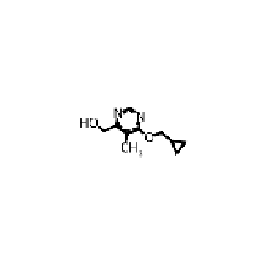 Cc1c(CO)ncnc1OCC1CC1